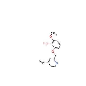 Bc1c(OC)cccc1OCc1cc(C)ccn1